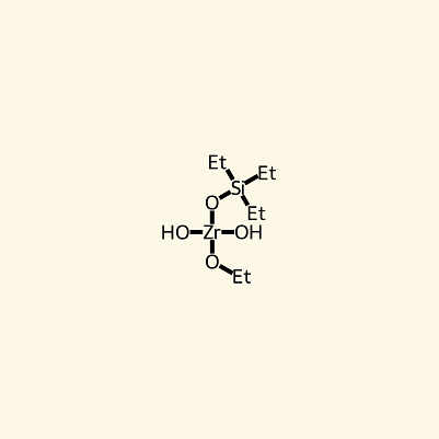 CC[O][Zr]([OH])([OH])[O][Si](CC)(CC)CC